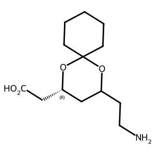 NCCC1C[C@H](CC(=O)O)OC2(CCCCC2)O1